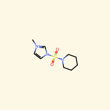 C[n+]1ccn(S(=O)(=O)N2CCCCC2)c1